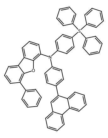 c1ccc(-c2cccc3c2oc2c(N(c4ccc(-c5cc6ccccc6c6ccccc56)cc4)c4ccc(S(c5ccccc5)(c5ccccc5)c5ccccc5)cc4)cccc23)cc1